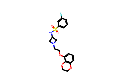 O=S(=O)(NC1CN(CCOc2cccc3c2OCCO3)C1)c1cccc(F)c1